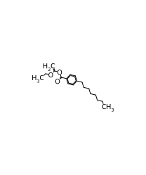 C=C(OCC)OC(=O)c1ccc(CCCCCCCC)cc1